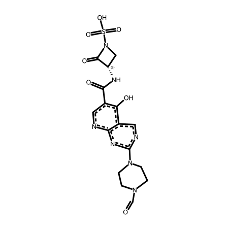 O=CN1CCN(c2ncc3c(O)c(C(=O)N[C@H]4CN(S(=O)(=O)O)C4=O)cnc3n2)CC1